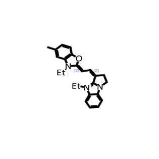 CCN1/C(=C/C=C2/CCn3c2[n+](CC)c2ccccc23)Oc2ccc(C)cc21